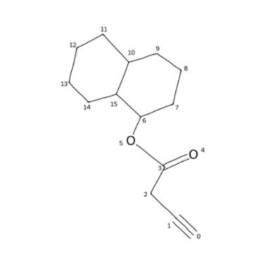 C#CCC(=O)OC1CCCC2CCCCC21